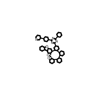 O=S1(=O)c2ccccc2-c2ccccc2-c2ccccc2-c2ccc(-c3nc(-c4ccccc4)nc(-c4ccc(-c5cccnc5)cc4)n3)cc2-c2cc3oc4ccccc4c3cc21